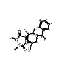 COC(=O)[C@H]1[C@H]2C[C@H](CN(C(C)c3ccccc3)C2C)N1C(=O)OC